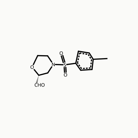 Cc1ccc(S(=O)(=O)N2CCO[C@@H](C=O)C2)cc1